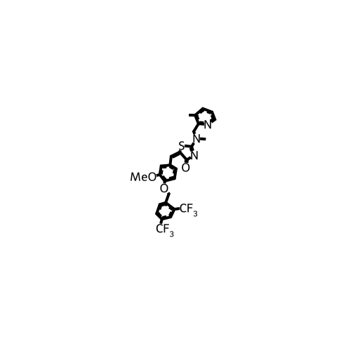 COc1cc(C=C2SC(N(C)Cc3ncccc3C)=NC2=O)ccc1OCc1ccc(C(F)(F)F)cc1C(F)(F)F